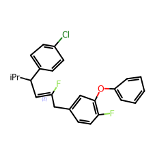 CC(C)C(/C=C(\F)Cc1ccc(F)c(Oc2ccccc2)c1)c1ccc(Cl)cc1